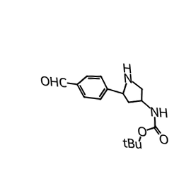 CC(C)(C)OC(=O)NC1CNC(c2ccc(C=O)cc2)C1